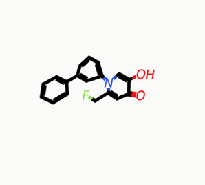 O=c1cc(CF)n(-c2cccc(-c3ccccc3)c2)cc1O